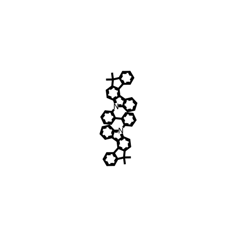 CC1(C)c2ccccc2-c2c1ccc1c2c2ccccc2n1-c1ccccc1-c1ccccc1-n1c2ccccc2c2c3c(ccc21)C(C)(C)c1ccccc1-3